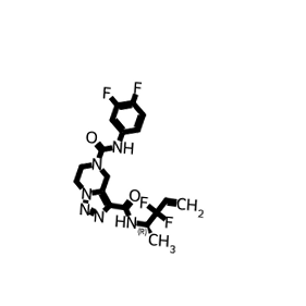 C=CC(F)(F)[C@@H](C)NC(=O)c1nnn2c1CN(C(=O)Nc1ccc(F)c(F)c1)CC2